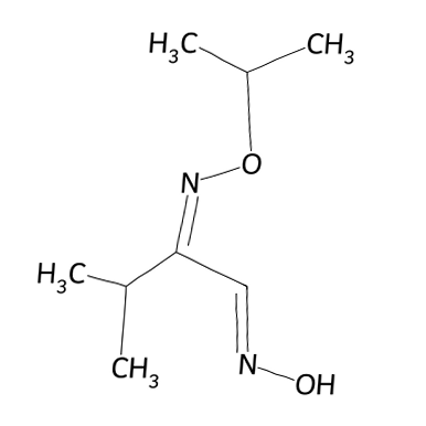 CC(C)ON=C(C=NO)C(C)C